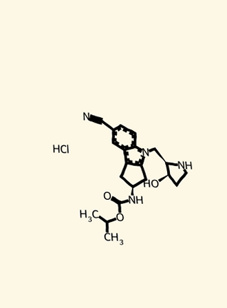 CC(C)OC(=O)N[C@H]1Cc2c(n(C[C@H]3NCC[C@H]3O)c3ccc(C#N)cc23)C1.Cl